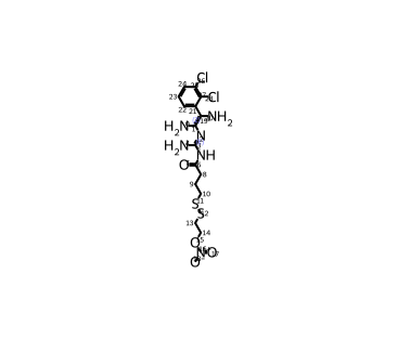 NC(/N=C(\N)NC(=O)CCCSSCCO[N+](=O)[O-])=C(/N)c1cccc(Cl)c1Cl